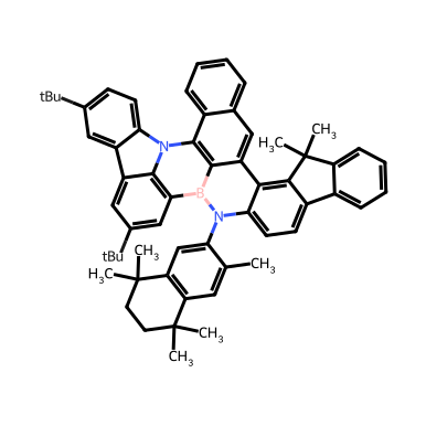 Cc1cc2c(cc1N1B3c4c(cc5ccccc5c4-n4c5ccc(C(C)(C)C)cc5c5cc(C(C)(C)C)cc3c54)-c3c1ccc1c3C(C)(C)c3ccccc3-1)C(C)(C)CCC2(C)C